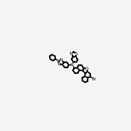 Brc1cc2oc3ccc4c(N(c5ccc6nn(-c7ccccc7)nc6c5)c5ccc6scnc6c5)cccc4c3c2c2ccccc12